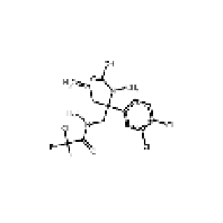 C=CCC(CN(C)C(=O)C(F)(F)Cl)(c1ccc(Cl)c(Cl)c1)N(C)C(=O)O